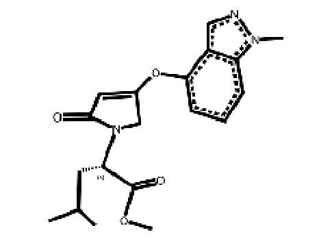 COC(=O)[C@H](CC(C)C)N1CC(Oc2cccc3c2cnn3C)=CC1=O